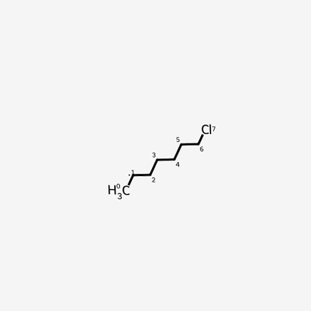 C[CH]CCCCCCl